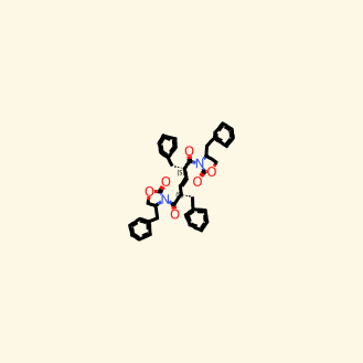 O=C1OCC(Cc2ccccc2)N1C(=O)[C@H](C=C[C@H](Cc1ccccc1)C(=O)N1C(=O)OCC1Cc1ccccc1)Cc1ccccc1